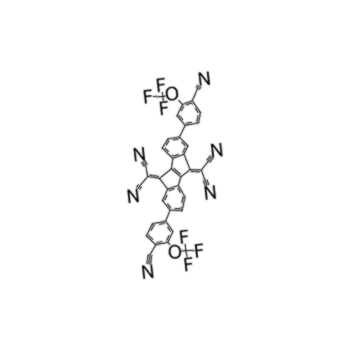 N#CC(C#N)=C1C2=C(C(=C(C#N)C#N)c3cc(-c4ccc(C#N)c(OC(F)(F)F)c4)ccc32)c2ccc(-c3ccc(C#N)c(OC(F)(F)F)c3)cc21